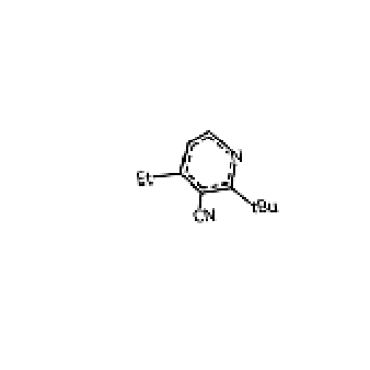 CCc1ccnc(C(C)(C)C)c1C#N